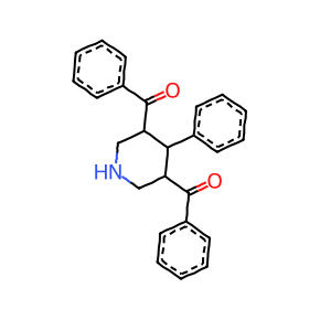 O=C(c1ccccc1)C1CNCC(C(=O)c2ccccc2)C1c1ccccc1